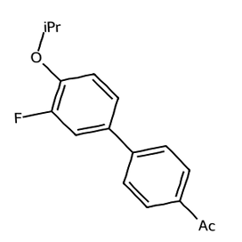 CC(=O)c1ccc(-c2ccc(OC(C)C)c(F)c2)cc1